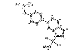 CC[C@@H](Oc1ccc(-c2cn3c(C(F)(F)OC)nnc3cn2)cn1)C(F)(F)F